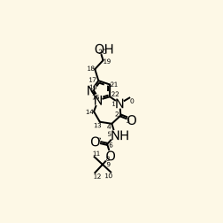 CN1C(=O)C(NC(=O)OC(C)(C)C)CCn2nc(CCO)cc21